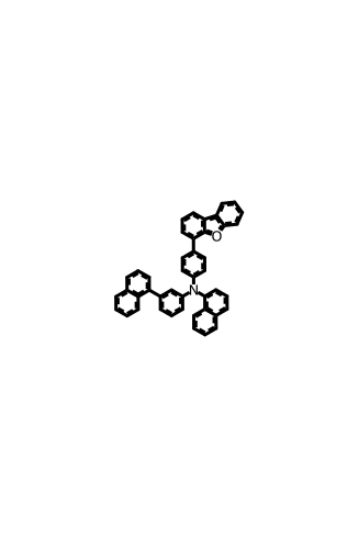 c1cc(-c2cccc3ccccc23)cc(N(c2ccc(-c3cccc4c3oc3ccccc34)cc2)c2cccc3ccccc23)c1